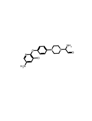 Nc1cnc(Oc2ccc(N3CCN(C(N)C=O)CC3)cc2)c(Cl)c1